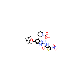 CC(C)[Si](OCc1cc([C@H]2CCCCN(C(=O)O)C2)c2[nH]c(NC(=O)c3cc([N+](=O)[O-])cs3)nc2c1)(C(C)C)C(C)C